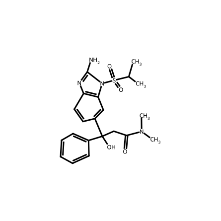 CC(C)S(=O)(=O)n1c(N)nc2ccc(C(O)(CC(=O)N(C)C)c3ccccc3)cc21